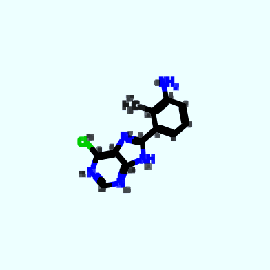 Nc1cccc(-c2nc3c(Cl)ncnc3[nH]2)c1C(F)(F)F